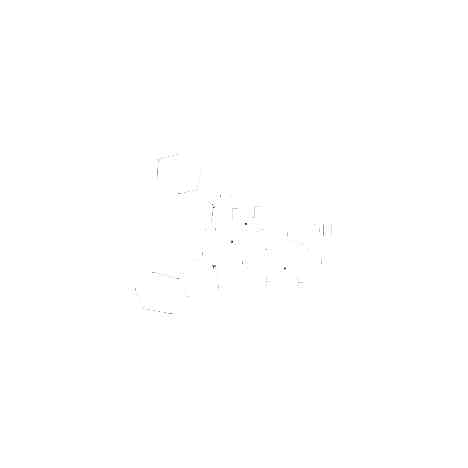 O=C(OC(OCC(F)(F)S(=O)(=O)O)(C(=O)OC1CCCCC1)C(F)(F)F)C1CCCCC1